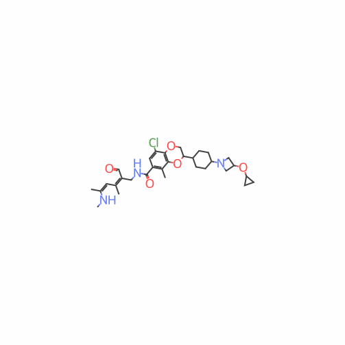 CN/C(C)=C\C(C)=C(/C=O)CNC(=O)c1cc(Cl)c2c(c1C)OC(C1CCC(N3CC(OC4CC4)C3)CC1)CO2